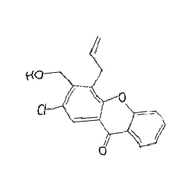 C=CCc1c(CO)c(Cl)cc2c(=O)c3ccccc3oc12